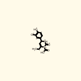 CCC1=CC(c2ccc(O)c(Cl)c2)NC(=O)N1C(=O)O